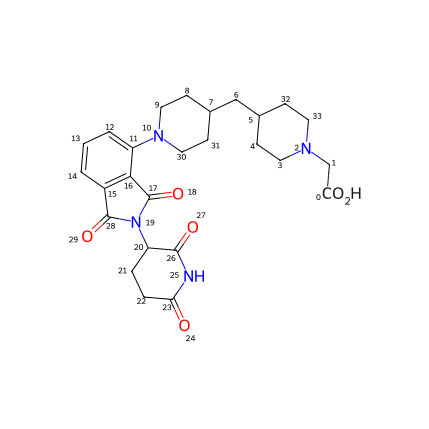 O=C(O)CN1CCC(CC2CCN(c3cccc4c3C(=O)N(C3CCC(=O)NC3=O)C4=O)CC2)CC1